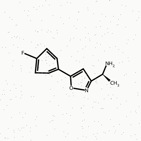 C[C@H](N)c1cc(-c2ccc(F)cc2)on1